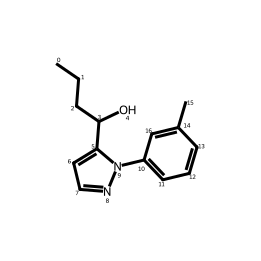 CCCC(O)c1ccnn1-c1cccc(C)c1